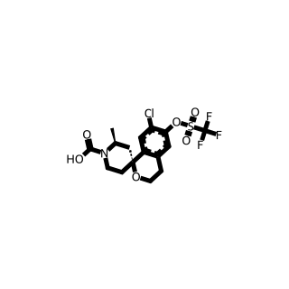 C[C@H]1C[C@@]2(CCN1C(=O)O)OCCc1cc(OS(=O)(=O)C(F)(F)F)c(Cl)cc12